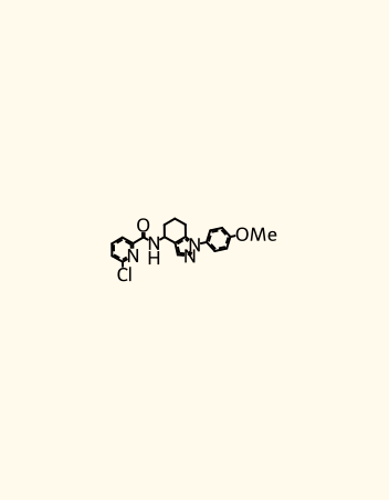 COc1ccc(-n2ncc3c2CCCC3NC(=O)c2cccc(Cl)n2)cc1